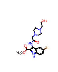 COC(=O)c1[nH]c2ccc(Br)cc2c1NC(=O)CN1CCN(CCO)CC1